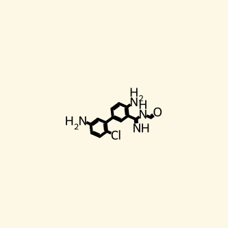 N=C(NC=O)c1cc(-c2cc(N)ccc2Cl)ccc1N